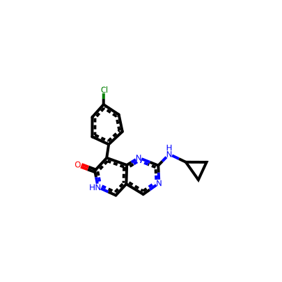 O=c1[nH]cc2cnc(NC3CC3)nc2c1-c1ccc(Cl)cc1